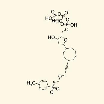 Cc1ccc(S(=O)(=O)SCOCC#CC2CCCCC(C3CC(O)C(COP(=O)(O)OP(=O)(O)OP(=O)(O)O)O3)CC2)cc1